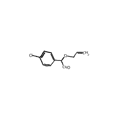 C=CCOC(C=O)c1ccc(Cl)cc1